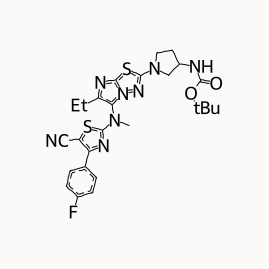 CCc1nc2sc(N3CCC(NC(=O)OC(C)(C)C)C3)nn2c1N(C)c1nc(-c2ccc(F)cc2)c(C#N)s1